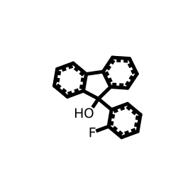 OC1(c2ccccc2F)c2ccccc2-c2ccccc21